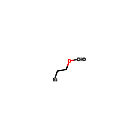 [CH2]CCCOC=O